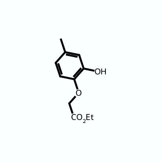 CCOC(=O)COc1ccc(C)cc1O